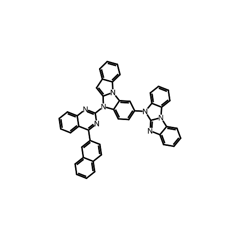 c1ccc2cc(-c3nc(-n4c5ccc(-n6c7ccccc7n7c8ccccc8nc67)cc5n5c6ccccc6cc45)nc4ccccc34)ccc2c1